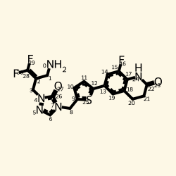 NCC(Cn1ncn(Cc2ccc(-c3cc(F)c4c(c3)CCC(=O)N4)s2)c1=O)=C(F)F